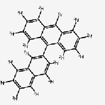 [2H]c1c([2H])c([2H])c2c([2H])c(-c3c4c([2H])c([2H])c([2H])c([2H])c4c(Br)c4c([2H])c([2H])c([2H])c([2H])c34)c([2H])c([2H])c2c1[2H]